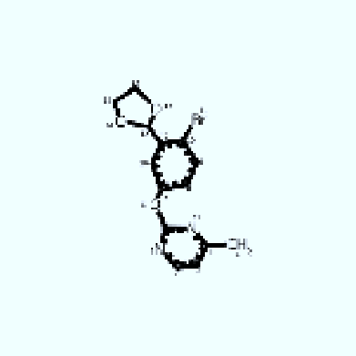 Cc1ccnc(Oc2ccc(Br)c(C3OCCO3)c2)n1